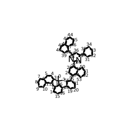 CC1(C)c2ccc3ccccc3c2-c2cccc(-c3cccc(-c4ccc(-c5nc(-c6ccccc6)cc(-c6cccc7ccccc67)n5)c5ccccc45)c3)c21